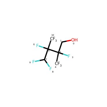 OCC(F)(C(F)(F)F)C(F)(C(F)F)C(F)(F)F